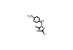 Cl.Nc1ccc(Cn2oc(=O)[nH]c2=O)cn1